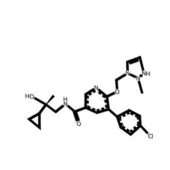 CN1NC=CN1COc1ncc(C(=O)NC[C@@](C)(O)C2CC2)cc1-c1ccc(Cl)cc1